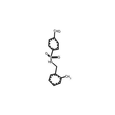 Cc1ccccc1CNS(=O)(=O)c1ccc(C=O)cc1